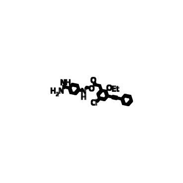 [CH2]COc1c(C#Cc2ccccc2)cc(Cl)cc1CC(=O)OCNc1ccc(C(=N)N)cc1